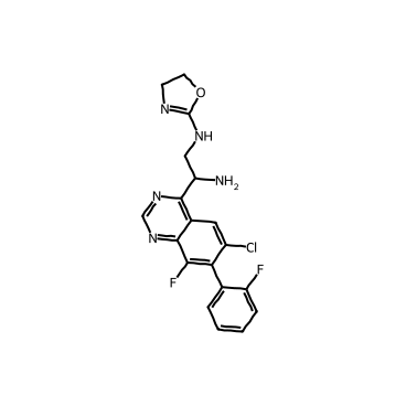 NC(CNC1=NCCO1)c1ncnc2c(F)c(-c3ccccc3F)c(Cl)cc12